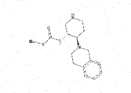 CC(C)(C)OC(=O)N[C@@H]1CNCC[C@H]1N1CCc2ccccc2C1